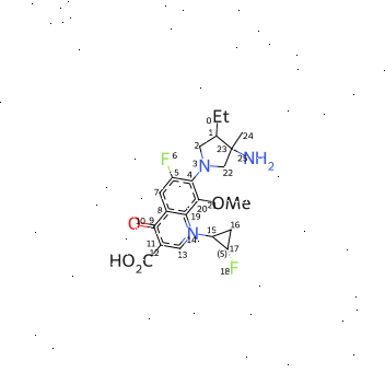 CCC1CN(c2c(F)cc3c(=O)c(C(=O)O)cn(C4C[C@@H]4F)c3c2OC)CC1(C)N